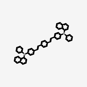 C(=C\c1ccc(N(c2ccccc2)c2cccc3ccccc23)cc1)/c1ccc(/C=C/c2ccc(N(c3ccccc3)c3cccc4ccccc34)cc2)cc1